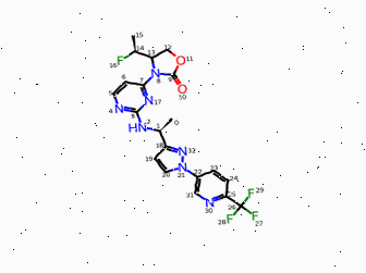 C[C@H](Nc1nccc(N2C(=O)OCC2[C@H](C)F)n1)c1ccn(-c2ccc(C(F)(F)F)nc2)n1